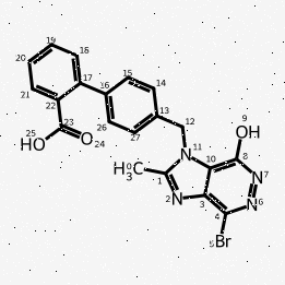 Cc1nc2c(Br)nnc(O)c2n1Cc1ccc(-c2ccccc2C(=O)O)cc1